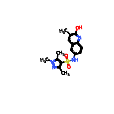 Cc1cc2cc(NS(=O)(=O)c3c(C)nn(C)c3C)ccc2nc1O